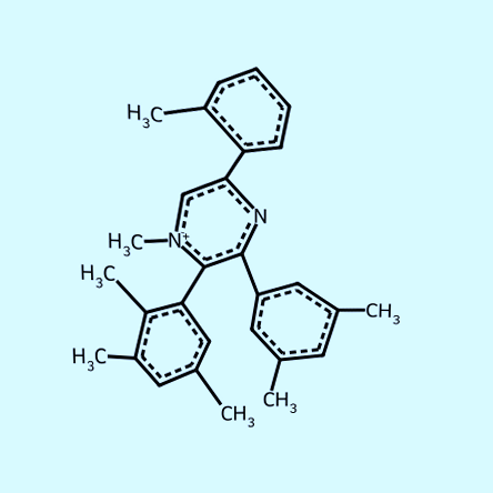 Cc1cc(C)cc(-c2nc(-c3ccccc3C)c[n+](C)c2-c2cc(C)cc(C)c2C)c1